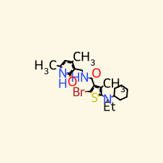 CCN(c1sc(Br)c(C(=O)NCc2c(C)cc(C)[nH]c2=O)c1C)C1CCCCC1